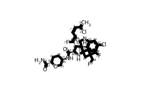 C=C(Cl)/C=C\C=C(/F)[C@H]1[C@H](C(=O)N[C@@H]2CC[C@@H](C(N)=O)OC2)NC2(CC(CF)(CF)C2)[C@@]12C(=O)Nc1cc(Cl)ccc12